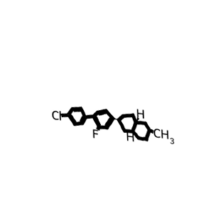 CC1CC[C@@H]2C[C@H](c3ccc(-c4ccc(Cl)cc4)c(F)c3)CC[C@@H]2C1